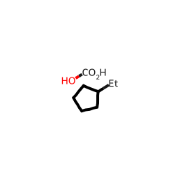 CCC1CCCC1.O=C(O)O